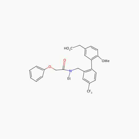 CCN(Cc1cc(C(F)(F)F)ccc1-c1cc(CC(=O)O)ccc1OC)C(=O)COc1ccccc1